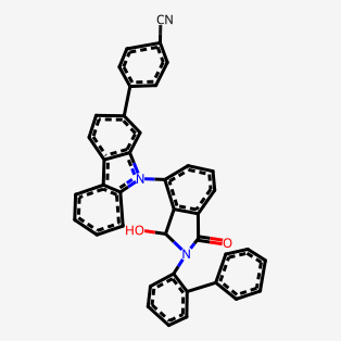 N#Cc1ccc(-c2ccc3c4ccccc4n(-c4cccc5c4C(O)N(c4ccccc4-c4ccccc4)C5=O)c3c2)cc1